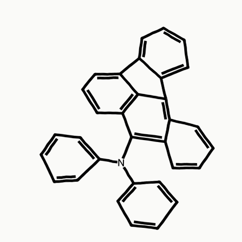 c1ccc(N(c2ccccc2)c2c3ccccc3c3c4c(cccc24)-c2ccccc2-3)cc1